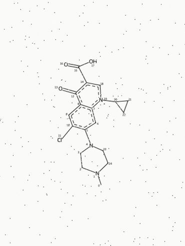 CN1CCN(c2cc3c(cc2Cl)c(=O)c(C(=O)O)cn3C2CC2)CC1